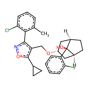 Cc1cccc(Cl)c1-c1noc(C2CC2)c1CO[C@@H]1C[C@H]2CC[C@@H](C1)[C@]2(O)c1ccccc1F